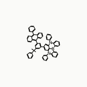 CC(C)(c1ccccc1)c1cc(-c2cc3c4c(c2)N(c2ccccc2)c2ccccc2B4c2ccccc2N3c2ccccc2)cc(-c2c3ccccc3c(-c3ccccc3)c3ccccc23)c1